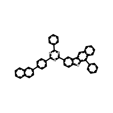 c1ccc(-c2nc(-c3ccc(-c4ccc5ccccc5c4)cc3)nc(-c3ccc4oc5c(-c6ccccc6)c6ccccc6cc5c4c3)n2)cc1